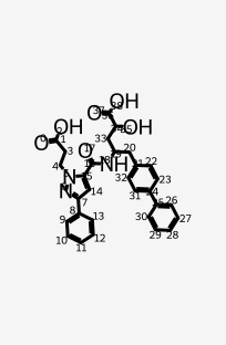 O=C(O)CCn1nc(-c2ccccc2)cc1C(=O)NC(Cc1ccc(-c2ccccc2)cc1)CC(O)C(=O)O